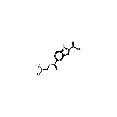 CN(C)CCC(=O)c1ccc2[nH]c(C(=O)C(C)(C)C)cc2c1